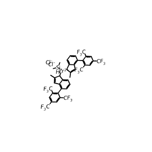 CC1=Cc2c(-c3c(C(F)(F)F)cc(C(F)(F)F)cc3C(F)(F)F)cccc2[CH]1[Zr+2]([CH]1C(C)=Cc2c(-c3c(C(F)(F)F)cc(C(F)(F)F)cc3C(F)(F)F)cccc21)[SiH](C)C.[Cl-].[Cl-]